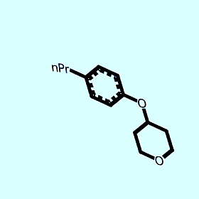 CCCc1ccc(OC2CCOCC2)cc1